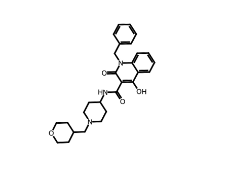 O=C(NC1CCN(CC2CCOCC2)CC1)c1c(O)c2ccccc2n(Cc2ccccc2)c1=O